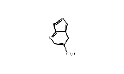 O=C(O)C1=CN=C2N=NC=C2C1